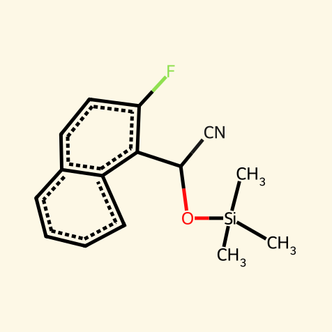 C[Si](C)(C)OC(C#N)c1c(F)ccc2ccccc12